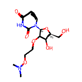 CN(C)OCCOC1C(O)[C@H](CO)O[C@@H]1n1ccc(=O)[nH]c1=O